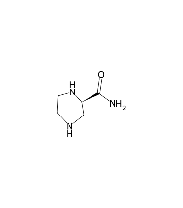 NC(=O)[C@H]1CNCCN1